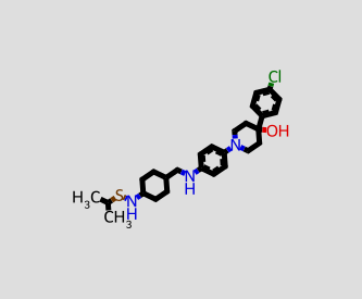 CC(C)SNC1CCC(CNc2ccc(N3CCC(O)(c4ccc(Cl)cc4)CC3)cc2)CC1